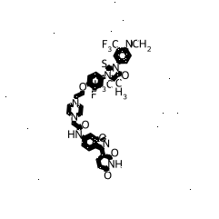 C=Nc1ccc(N2C(=O)C(C)(C)N(c3ccc(OCCN4CCN(CC(=O)Nc5ccc6c(C7CCC(=O)NC7=O)noc6c5)CC4)c(F)c3)C2=S)cc1C(F)(F)F